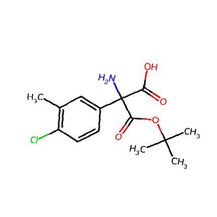 Cc1cc(C(N)(C(=O)O)C(=O)OC(C)(C)C)ccc1Cl